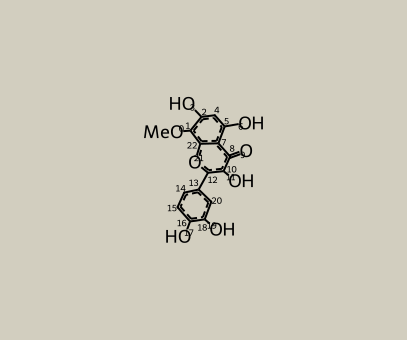 COc1c(O)cc(O)c2c(=O)c(O)c(-c3ccc(O)c(O)c3)oc12